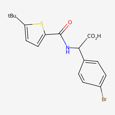 CC(C)(C)c1ccc(C(=O)NC(C(=O)O)c2ccc(Br)cc2)s1